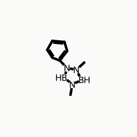 CN1BN(C)N(c2ccccc2)B1